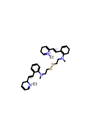 CC[N+]1=CCCC=C1/C=C/C1=C(N(C)CCSSCCN(C)c2ccccc2/C=C/C2CC=CC=[N+]2CC)CCC=C1